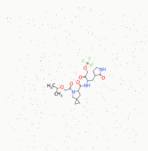 CC(C)OCC(=O)N1CC2(CC2)CC1C(=O)NC(CC1CCNC1=O)C(=O)COC(F)(F)F